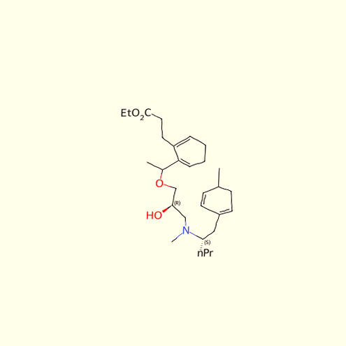 CCC[C@@H](CC1=CCC(C)C=C1)N(C)C[C@@H](O)COC(C)C1=CCCC=C1CCC(=O)OCC